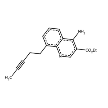 CC#CCCc1cccc2c(N)c(C(=O)OCC)cnc12